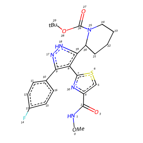 CONC(=O)c1csc(-c2c(-c3ccc(F)cc3)n[nH]c2C2CCCCN2C(=O)OC(C)(C)C)n1